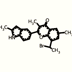 Cc1cc(C(C)Br)c2oc(-c3ccc4[nH]c(C)cc4c3)c(C)c(=O)c2c1